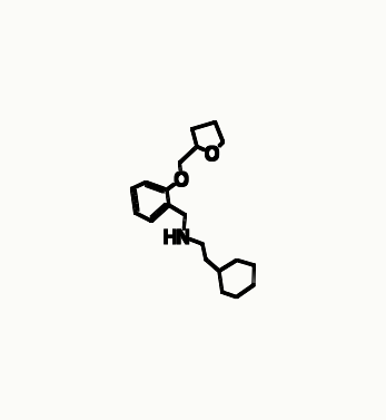 c1ccc(OCC2CCCO2)c(CNCCC2CCCCC2)c1